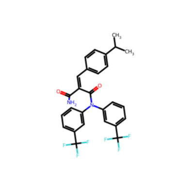 CC(C)c1ccc(C=C(C(N)=O)C(=O)N(c2cccc(C(F)(F)F)c2)c2cccc(C(F)(F)F)c2)cc1